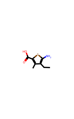 CCc1c(N)sc(C(=O)O)c1C